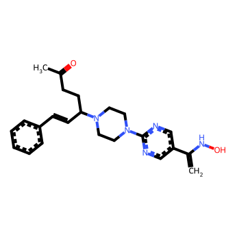 C=C(NO)c1cnc(N2CCN(C(/C=C/c3ccccc3)CCC(C)=O)CC2)nc1